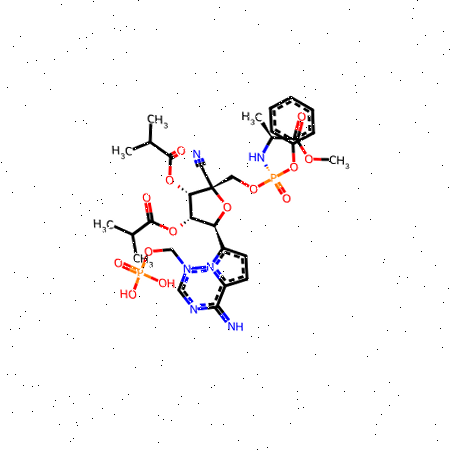 COC(=O)[C@H](C)N[P@](=O)(OC[C@@]1(C#N)O[C@@H](c2ccc3c(=N)ncn(COP(=O)(O)O)n23)[C@H](OC(=O)C(C)C)[C@@H]1OC(=O)C(C)C)Oc1ccccc1